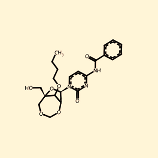 CCCCOC1C2OCOC[C@]1(CO)O[C@H]2n1ccc(NC(=O)c2ccccc2)nc1=O